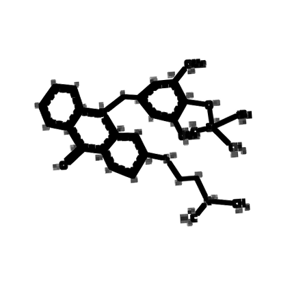 COc1cc(Cn2c3ccccc3c(=O)c3ccc(SCCN(C)C)cc32)cc(OC)c1O[Si](C)(C)C(C)(C)C